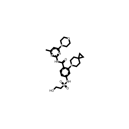 Cc1cc(N2CCOCC2)nc(NC(=O)c2ccc(NS(=O)(=O)CCO)cc2N2CCC3(CC2)CC3)n1